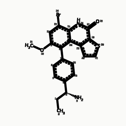 CC[C@@H](N)c1ccc(-c2c(OC)cc(Br)c3[nH]c(=O)c4sccc4c23)cc1